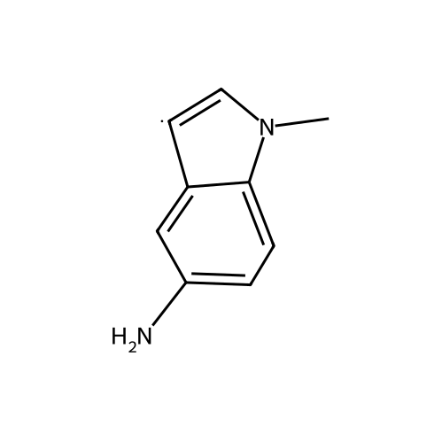 Cn1c[c]c2cc(N)ccc21